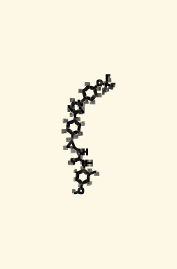 COc1ccc(NC(=S)NC2CC2c2ccc(-c3ncn(-c4ccc(OC(F)(F)F)cc4)n3)cc2)c(C)c1